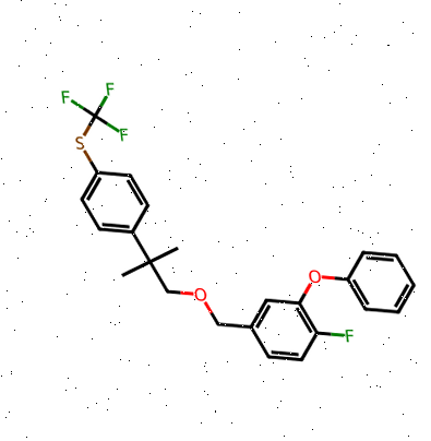 CC(C)(COCc1ccc(F)c(Oc2ccccc2)c1)c1ccc(SC(F)(F)F)cc1